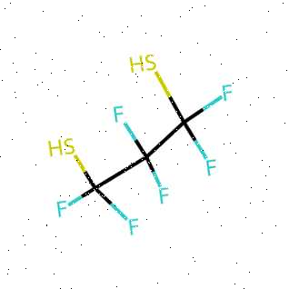 FC(F)(S)C(F)(F)C(F)(F)S